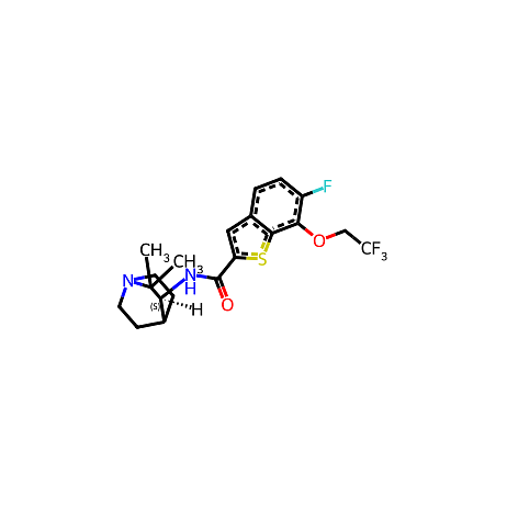 CC1(C)[C@@H](NC(=O)c2cc3ccc(F)c(OCC(F)(F)F)c3s2)C2CCN1CC2